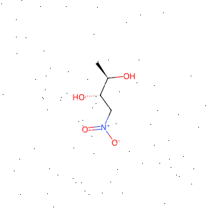 C[C@@H](O)[C@@H](O)C[N+](=O)[O-]